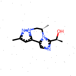 Cc1cc2n(n1)C[C@H](C)n1c-2cnc1[C@H](C)O